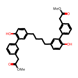 COC(=O)Cc1cccc(-c2cc(CCCCc3ccc(O)c(-c4cccc(CC(=O)OC)c4)c3)ccc2O)c1